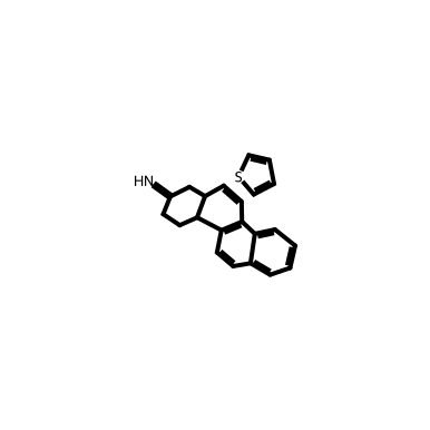 N=C1CCC2c3ccc4ccccc4c3C=CC2C1.c1ccsc1